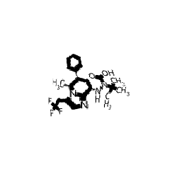 C[C@@H]1[C@H](c2ccccc2)C[C@H](NN(C(=O)O)C(C)(C)C)c2ncc(CC(F)(F)F)n21